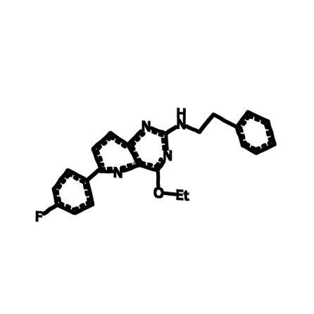 CCOc1nc(NCCc2ccccc2)nc2ccc(-c3ccc(F)cc3)nc12